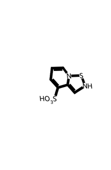 O=S(=O)(O)C1=CC=CN2SNC=C12